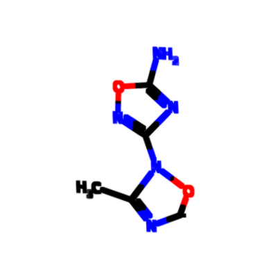 CC1=N[CH]ON1c1noc(N)n1